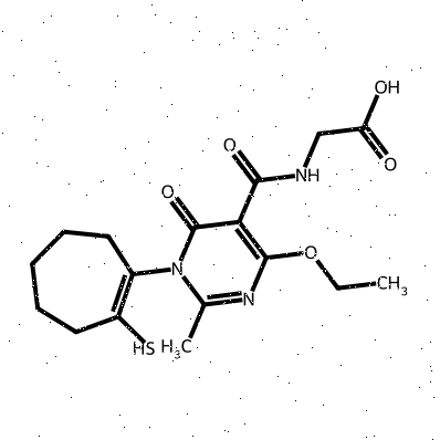 CCOc1nc(C)n(C2=C(S)CCCCC2)c(=O)c1C(=O)NCC(=O)O